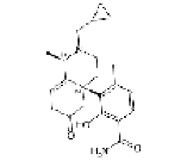 Cc1ccc(C(N)=O)c(O)c1[C@]12CCN(CC3CC3)[C@H](C)C1=CCC(=O)C2